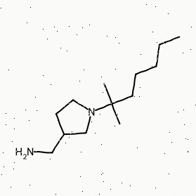 CCCCCC(C)(C)N1CCC(CN)C1